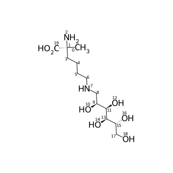 C[C@](N)(CCCCNC[C@H](O)[C@@H](O)[C@H](O)[C@H](O)CO)C(=O)O